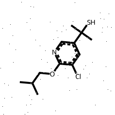 CC(C)COc1ncc(C(C)(C)S)cc1Cl